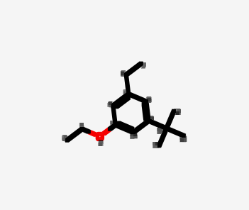 CCOc1cc(CC)cc(C(C)(C)C)c1